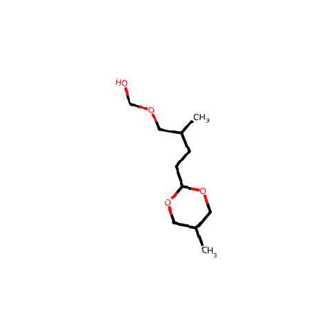 CC(CCC1OCC(C)CO1)COCO